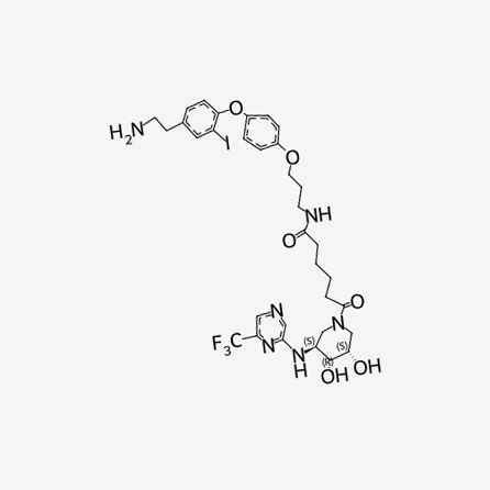 NCCc1ccc(Oc2ccc(OCCCNC(=O)CCCCC(=O)N3C[C@H](Nc4cncc(C(F)(F)F)n4)[C@@H](O)[C@@H](O)C3)cc2)c(I)c1